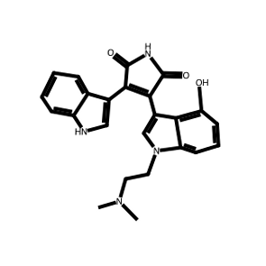 CN(C)CCn1cc(C2=C(c3c[nH]c4ccccc34)C(=O)NC2=O)c2c(O)cccc21